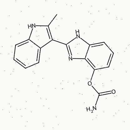 Cc1[nH]c2ccccc2c1-c1nc2c(OC(N)=O)cccc2[nH]1